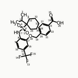 CC(C)C1(S(=O)(=O)Nc2ccc(C(F)(F)F)cc2OCc2ccc(C(=O)O)cc2)CCCCC1